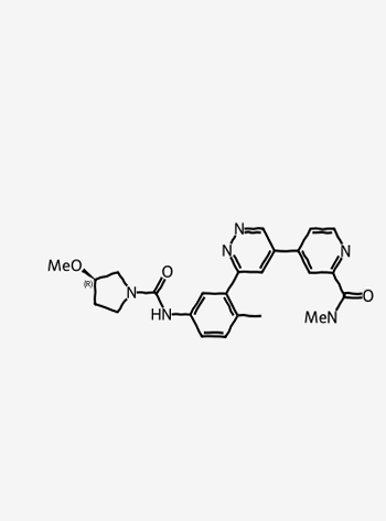 CNC(=O)c1cc(-c2cnnc(-c3cc(NC(=O)N4CC[C@@H](OC)C4)ccc3C)c2)ccn1